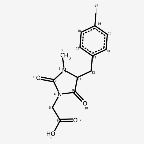 CN1C(=O)N(CC(=O)O)C(=O)C1Cc1ccc(I)cc1